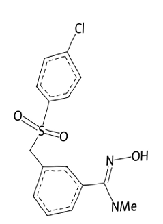 CN/C(=N\O)c1cccc(CS(=O)(=O)c2ccc(Cl)cc2)c1